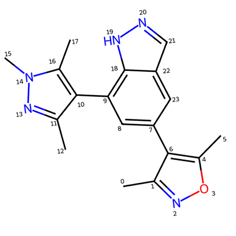 Cc1noc(C)c1-c1cc(-c2c(C)nn(C)c2C)c2[nH]ncc2c1